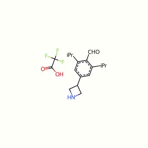 CC(C)c1cc(C2CNC2)cc(C(C)C)c1C=O.O=C(O)C(F)(F)F